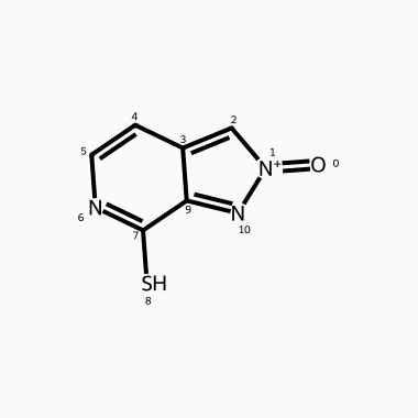 O=[N+]1C=c2ccnc(S)c2=N1